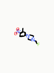 Cc1cc(N2CCN(CCF)CC2)ccc1[N+](=O)[O-]